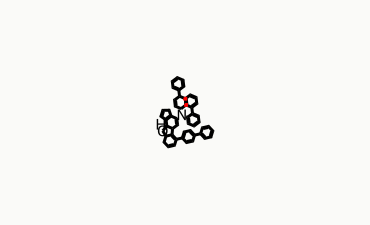 C1=CC2=C(C1)C(N(c1ccccc1-c1ccccc1)C1C=CC(c3ccccc3)CC1)=CC1C3=C(c4ccc(-c5ccccc5)cc4)C=CCC3O[C@@H]21